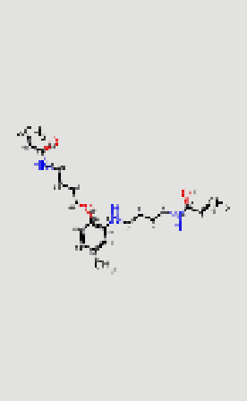 C=CC(=O)NCCCCNc1cc(C)ccc1OCCCCNC(=O)C=C